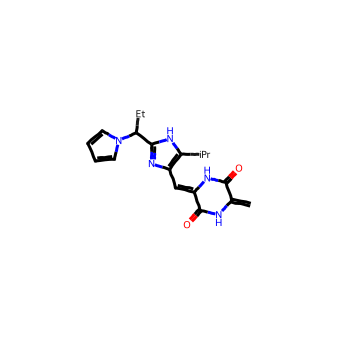 C=c1[nH]c(=O)c(=Cc2nc(C(CC)n3cccc3)[nH]c2C(C)C)[nH]c1=O